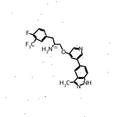 Cc1n[nH]c2ccc(-c3cncc(OC[C@@H](N)Cc4ccc(F)c(C(F)(F)F)c4)c3)cc12